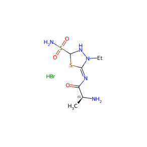 Br.CCN1NC(S(N)(=O)=O)SC1=NC(=O)[C@H](C)N